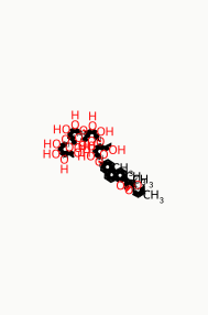 C[C@@H]1CC[C@@]2(OC1)OC1OC3C4CC=C5C[C@@H](O[C@@H]6OC(CO)[C@@H](O[C@H]7OC(CO)[C@@H](O[C@@H]8OC(CO)[C@@H](O[C@H]9OC(CO)[C@@H](O)C(O)C9O)C(O)C8O)C(O)C7O)C(O)C6O)CC[C@]5(C)C4CC[C@]3(C)C1[C@@H]2C